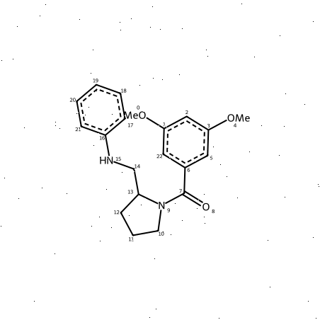 COc1cc(OC)cc(C(=O)N2CCCC2CNc2ccccc2)c1